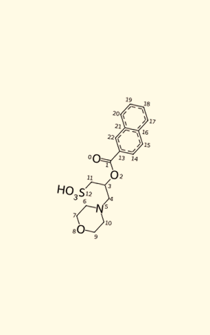 O=C(OC(CN1CCOCC1)CS(=O)(=O)O)c1ccc2ccccc2c1